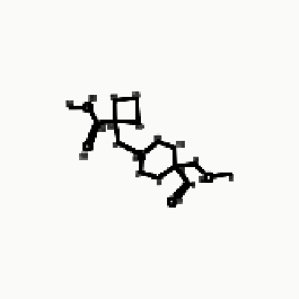 COCC1(C=O)CCN(CC2(C(=O)OC)CCC2)CC1